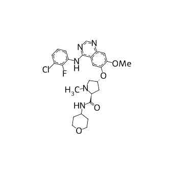 COc1cc2ncnc(Nc3cccc(Cl)c3F)c2cc1O[C@@H]1C[C@@H](C(=O)NC2CCOCC2)N(C)C1